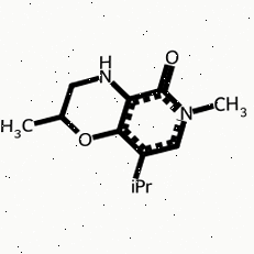 CC1CNc2c(c(C(C)C)cn(C)c2=O)O1